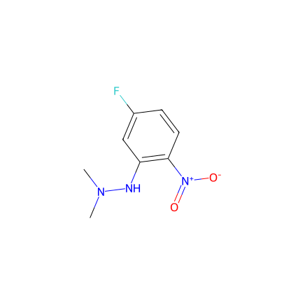 CN(C)Nc1cc(F)ccc1[N+](=O)[O-]